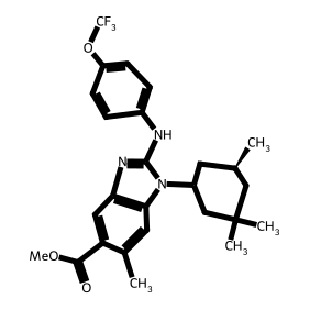 COC(=O)c1cc2nc(Nc3ccc(OC(F)(F)F)cc3)n(C3C[C@@H](C)CC(C)(C)C3)c2cc1C